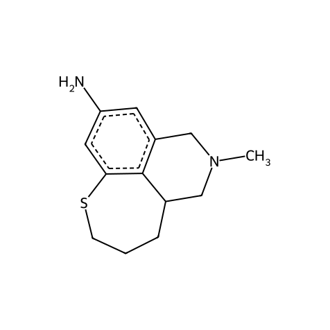 CN1Cc2cc(N)cc3c2C(CCCS3)C1